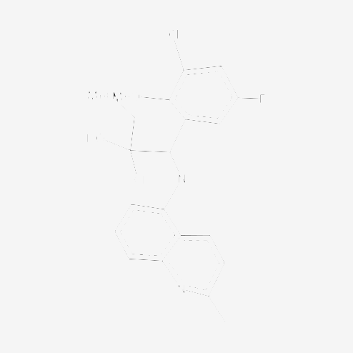 COCC(O)(C(Nc1cccc2nc(C)ccc12)c1cc(F)cc(Cl)c1OC)C(F)(F)F